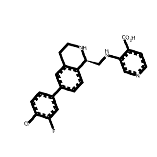 O=C(O)c1ccncc1NC[C@@H]1NCCc2cc(-c3ccc(Cl)c(F)c3)ccc21